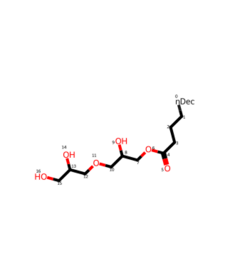 CCCCCCCCCCCCCC(=O)OCC(O)COCC(O)CO